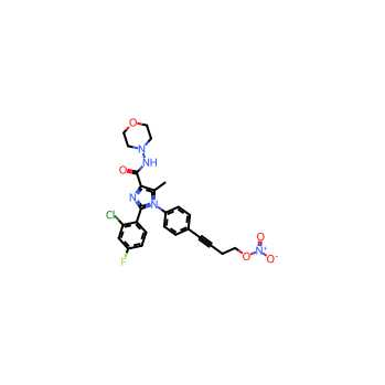 Cc1c(C(=O)NN2CCOCC2)nc(-c2ccc(F)cc2Cl)n1-c1ccc(C#CCCO[N+](=O)[O-])cc1